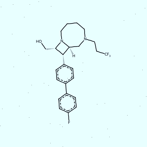 OC[C@H]1[C@@H](c2ccc(-c3ccc(F)cc3)cc2)[C@@H]2CN(CCC(F)(F)F)CCCCN12